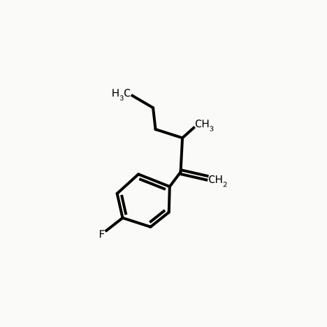 C=C(c1ccc(F)cc1)C(C)CCC